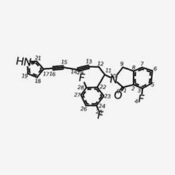 O=C1c2c(F)cccc2CN1C(CC#CC#Cc1cc[nH]c1)c1cc(F)ccc1F